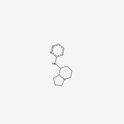 c1ccc(NC2CCCN3CCCC23)nc1